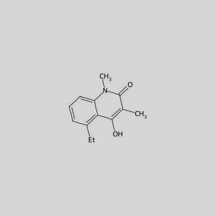 CCc1cccc2c1c(O)c(C)c(=O)n2C